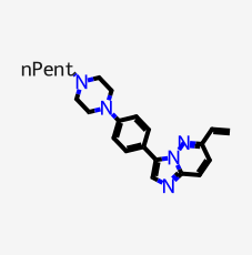 C=Cc1ccc2ncc(-c3ccc(N4CCN(CCCCC)CC4)cc3)n2n1